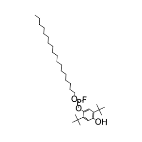 CCCCCCCCCCCCCCCCCCOP(F)Oc1cc(C(C)(C)C)c(O)cc1C(C)(C)C